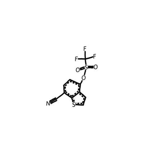 N#Cc1ccc(OS(=O)(=O)C(F)(F)F)c2ccsc12